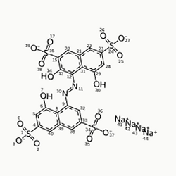 O=S(=O)([O-])c1cc(O)c2c(N=Nc3c(O)c(S(=O)(=O)[O-])cc4cc(S(=O)(=O)[O-])cc(O)c34)cc(S(=O)(=O)[O-])cc2c1.[Na+].[Na+].[Na+].[Na+]